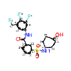 O=C(Nc1cc(F)c(F)c(CF)c1)c1cccc(S(=O)(=O)NC2CCC(O)CC2)c1